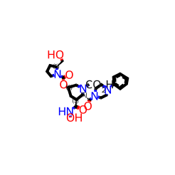 O=C(NO)[C@H]1C[C@H](OC(=O)N2CCC[C@H]2CO)CN(C(=O)O)[C@@H]1C(=O)N1CCN(c2ccccc2)CC1